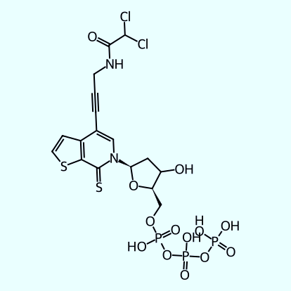 O=C(NCC#Cc1cn([C@H]2CC(O)[C@@H](COP(=O)(O)OP(=O)(O)OP(=O)(O)O)O2)c(=S)c2sccc12)C(Cl)Cl